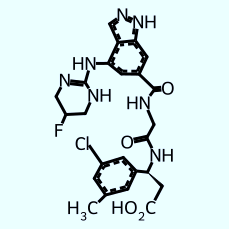 Cc1cc(Cl)cc([C@H](CC(=O)O)NC(=O)CNC(=O)c2cc(NC3=NCC(F)CN3)c3cn[nH]c3c2)c1